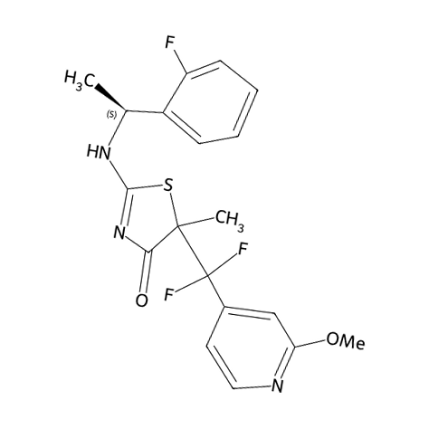 COc1cc(C(F)(F)C2(C)SC(N[C@@H](C)c3ccccc3F)=NC2=O)ccn1